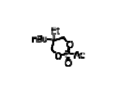 CCCCC1(CC)COP(=O)(C(C)=O)OC1